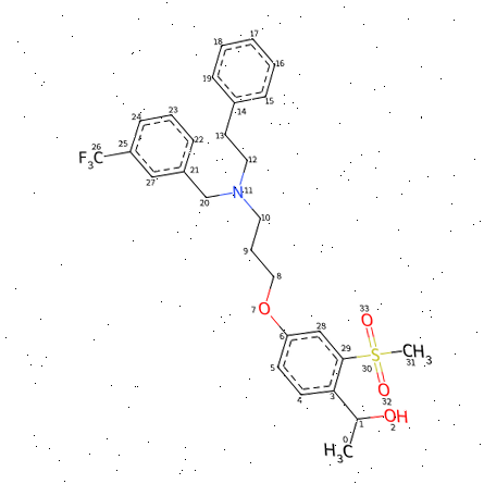 CC(O)c1ccc(OCCCN(CCc2ccccc2)Cc2cccc(C(F)(F)F)c2)cc1S(C)(=O)=O